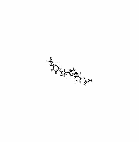 O=C(O)CC1CCc2c1[nH]c1ccc(-c3noc(-c4ccc(OC(F)(F)F)cc4)n3)cc21